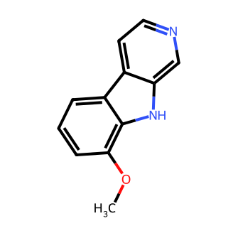 COc1cccc2c1[nH]c1cnccc12